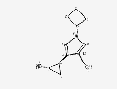 N#C[C@H]1C[C@@H]1c1nn(C2CCC2)cc1O